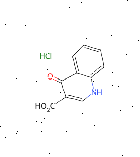 Cl.O=C(O)c1c[nH]c2ccccc2c1=O